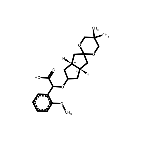 COc1ccccc1C(OC1C[C@@H]2CC3(C[C@@H]2C1)OCC(C)(C)CO3)C(=O)O